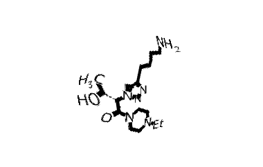 CCN1CCN(C(=O)[C@H](C(C)O)n2cc(CCCCN)nn2)CC1